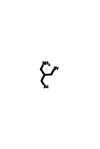 CC(=O)CC(CN)CC(C)C